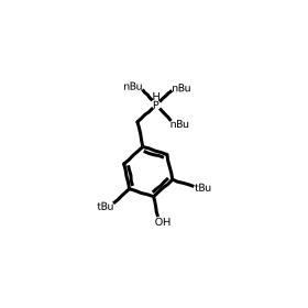 CCCC[PH](CCCC)(CCCC)Cc1cc(C(C)(C)C)c(O)c(C(C)(C)C)c1